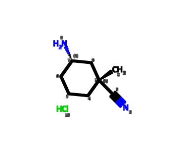 C[C@@]1(C#N)CCC[C@H](N)C1.Cl